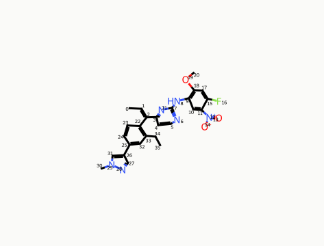 C/C=C(/c1ccnc(Nc2cc([N+](=O)[O-])c(F)cc2OC)n1)c1ccc(-c2cnn(C)c2)cc1CC